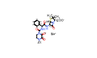 CCN1CCN(C(=O)N[C@H](C(=O)N[C@@H]2C(=O)N3[C@@H]2SC(C)(C)[C@@H]3C(=O)[O-])c2ccccc2)C(=O)C1=O.[Na+]